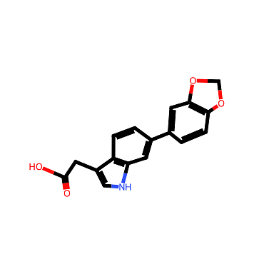 O=C(O)Cc1c[nH]c2cc(-c3ccc4c(c3)OCO4)ccc12